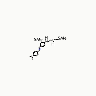 CSCCNCCNc1ccc(/C=C/c2ccc(N(C)C)cc2)cc1SC